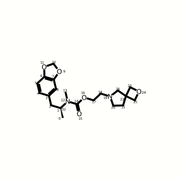 C[C@@H](Cc1ccc2c(c1)OCO2)N(C)C(=O)OCCN1CCC2(COC2)C1